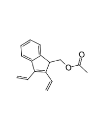 C=CC1=C(C=C)C(COC(C)=O)c2ccccc21